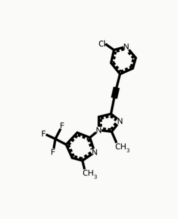 Cc1cc(C(F)(F)F)cc(-n2cc(C#Cc3ccnc(Cl)c3)nc2C)n1